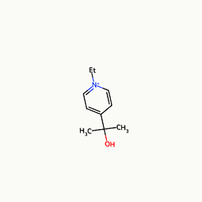 CC[n+]1ccc(C(C)(C)O)cc1